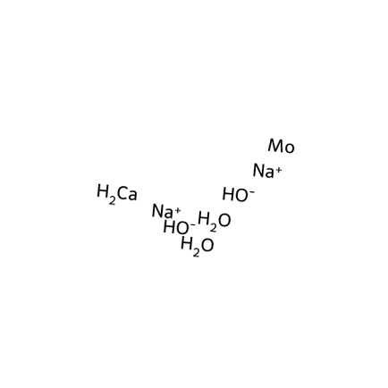 O.O.[CaH2].[Mo].[Na+].[Na+].[OH-].[OH-]